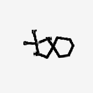 [O-][N+]1([O-])NCC2(CCCCC2)N1